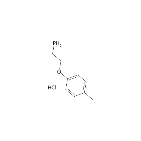 Cc1ccc(OCCP)cc1.Cl